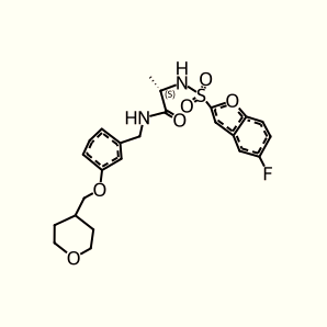 C[C@H](NS(=O)(=O)c1cc2cc(F)ccc2o1)C(=O)NCc1cccc(OCC2CCOCC2)c1